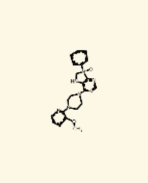 COc1cccnc1N1CCN(c2ncnc3c2NC[N+]3([O-])c2ccccc2)CC1